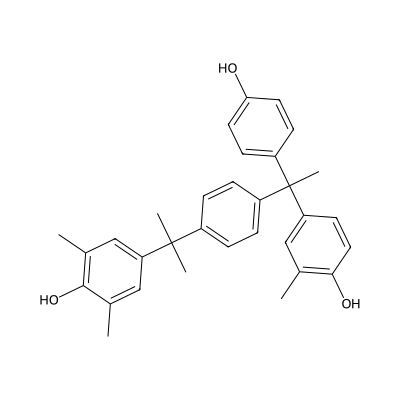 Cc1cc(C(C)(c2ccc(O)cc2)c2ccc(C(C)(C)c3cc(C)c(O)c(C)c3)cc2)ccc1O